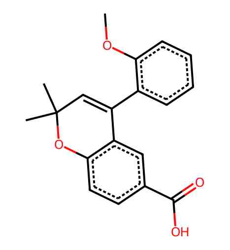 COc1ccccc1C1=CC(C)(C)Oc2ccc(C(=O)O)cc21